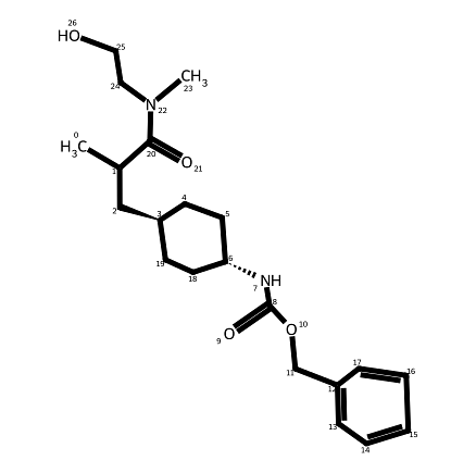 CC(C[C@H]1CC[C@H](NC(=O)OCc2ccccc2)CC1)C(=O)N(C)CCO